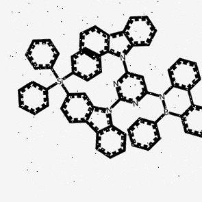 c1ccc(B2c3ccccc3-c3ccccc3N2c2cc(-n3c4ccccc4c4ccccc43)nc(-n3c4ccccc4c4ccc([Si](c5ccccc5)(c5ccccc5)c5ccccc5)cc43)n2)cc1